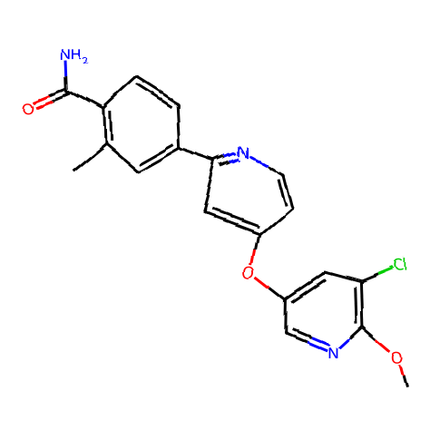 COc1ncc(Oc2ccnc(-c3ccc(C(N)=O)c(C)c3)c2)cc1Cl